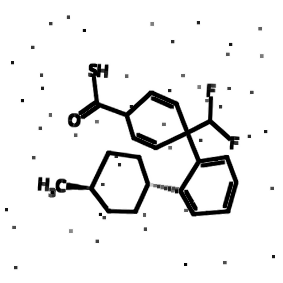 C[C@H]1CC[C@H](c2ccccc2C2(C(F)F)C=CC(C(=O)S)C=C2)CC1